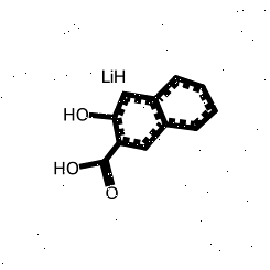 O=C(O)c1cc2ccccc2cc1O.[LiH]